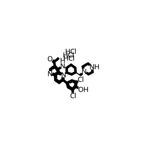 CC(=O)c1cnc2ccc(-c3cc(Cl)c(O)c(Cl)c3)nc2c1N[C@H]1CC[C@H](CN2CCNCC2)CC1.Cl.Cl.Cl